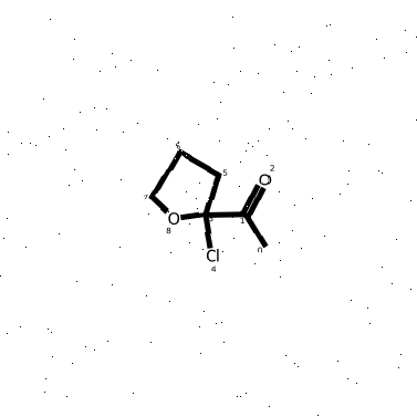 CC(=O)C1(Cl)CCCO1